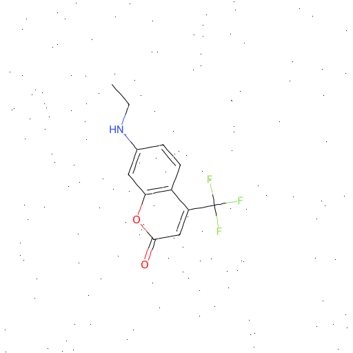 CCNc1ccc2c(C(F)(F)F)cc(=O)oc2c1